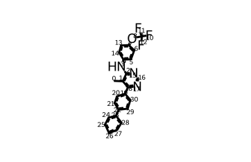 Cc1c(Nc2ccc(OC(F)(F)F)cc2)ncnc1-c1ccc(-c2ccccc2)cc1